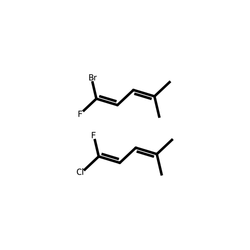 CC(C)=C/C=C(/F)Br.CC(C)=C/C=C(\F)Cl